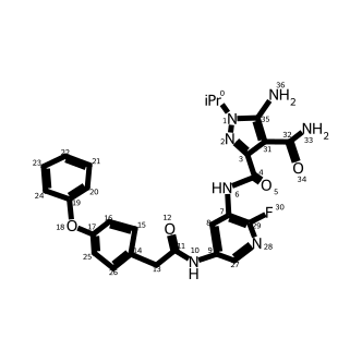 CC(C)n1nc(C(=O)Nc2cc(NC(=O)Cc3ccc(Oc4ccccc4)cc3)cnc2F)c(C(N)=O)c1N